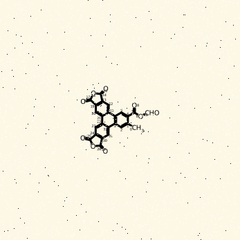 Cc1cc2c(cc1C(=O)OC=O)c1cc3c(=O)oc(=O)c3cc1c1cc3c(=O)oc(=O)c3cc21